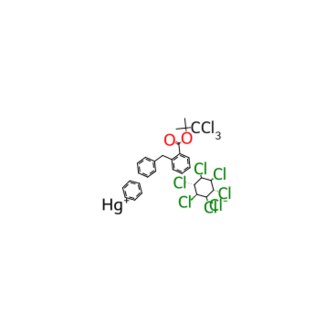 CC(C)(OC(=O)c1ccccc1Cc1ccccc1)C(Cl)(Cl)Cl.Cl[C@H]1[C@H](Cl)[C@@H](Cl)[C@@H](Cl)[C@H](Cl)[C@H]1Cl.[Cl-].[Hg+][c]1ccccc1